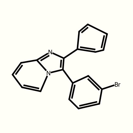 Brc1cccc(-c2c(-c3ccccc3)nc3ccccn23)c1